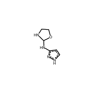 c1cc(NC2NCCO2)n[nH]1